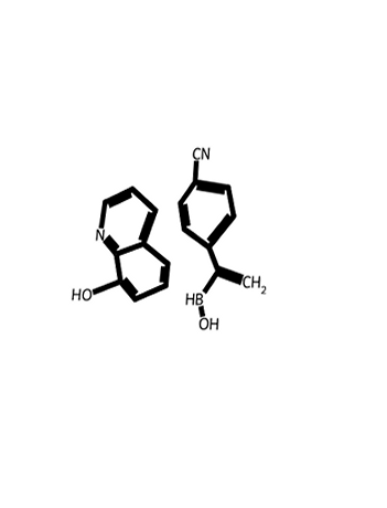 C=C(BO)c1ccc(C#N)cc1.Oc1cccc2cccnc12